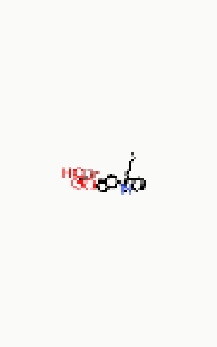 CCCCCc1c(-c2ccc3c(Br)c(OCC(=O)O)ccc3c2)n(C)c2ccccc12